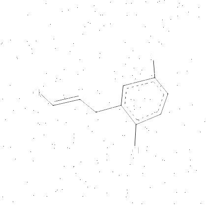 ClC=CCc1cc(Cl)ccc1Cl